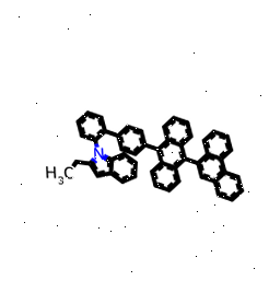 CCc1cc2ccccc2n1-c1ccccc1-c1ccc(-c2c3ccccc3c(-c3cc4ccccc4c4ccccc34)c3ccccc23)cc1